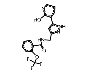 O=C(NCc1cc(-c2cccnc2O)[nH]n1)c1ccccc1OC(F)(F)F